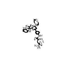 NC(=O)C[C@H](N)C(=O)Nc1ccc(-c2cc(N3CCOCC3)nc(C3(C(F)F)Nc4ccccc4N3)n2)cc1